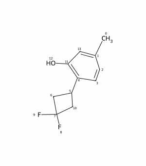 Cc1ccc(C2CC(F)(F)C2)c(O)c1